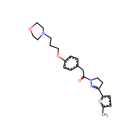 Cc1ccc(C2=NN(C(=O)Cc3ccc(OCCCN4CCOCC4)cc3)CC2)s1